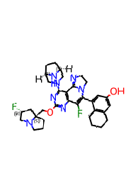 Oc1cc2c(c(C3=C(F)c4nc(OC[C@@]56CCCN5C[C@H](F)C6)nc(N5C[C@H]6CC[C@@H](C5)N6)c4C4=NCCN43)c1)CCCC2